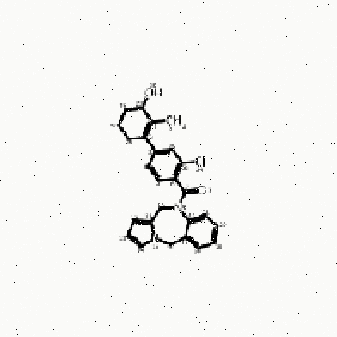 CC1=C(c2ccc(C(=O)N3Cc4cccn4Cc4ccccc43)c(Cl)c2)CCCC1O